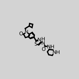 O=C(Nc1csc(-c2ccc3c(c2)CC(=O)N3CC2CCC2)n1)N[C@H]1CCCNC1